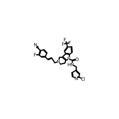 N#Cc1ccc(C=CCN2CCc3c(c4cc(C(F)(F)F)ccc4n3C(=O)NCc3ccnc(Cl)c3)C2)cc1F